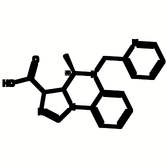 C[C@@H]1C2C(C(=O)O)N=CN2c2ccccc2N1Cc1ccccn1